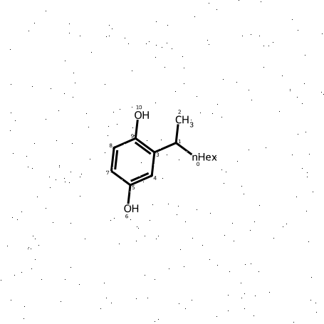 CCCCCCC(C)c1cc(O)ccc1O